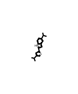 CC(C)c1csc(-c2cc3cc(C(C)C)ccc3[nH]2)c1